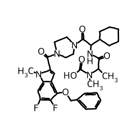 CC(C(=O)NC(C(=O)N1CCN(C(=O)c2cc3c(OCc4ccccc4)c(F)c(F)cc3n2C)CC1)C1CCCCC1)N(C)C(=O)O